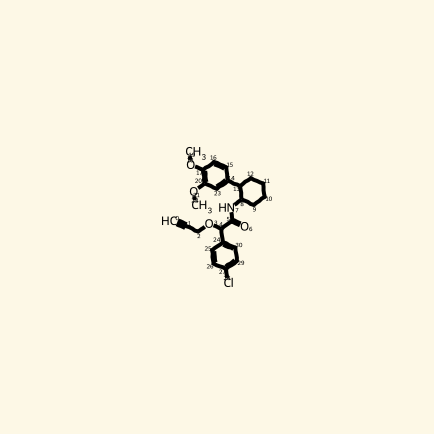 C#CCOC(C(=O)NC1CCCCC1c1ccc(OC)c(OC)c1)c1ccc(Cl)cc1